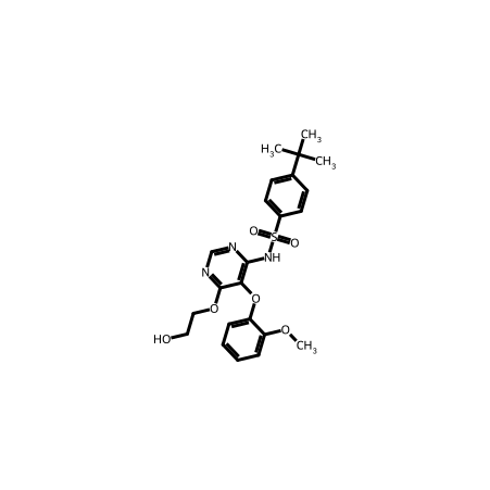 COc1ccccc1Oc1c(NS(=O)(=O)c2ccc(C(C)(C)C)cc2)ncnc1OCCO